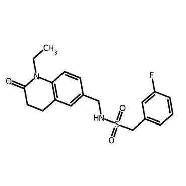 CCN1C(=O)CCc2cc(CNS(=O)(=O)Cc3cccc(F)c3)ccc21